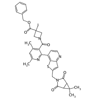 Cc1cc(C)c(C(=O)N2CC(I)(C(=O)OCc3ccccc3)C2)c(-c2ccnc3cc(CN4C(=O)C5C(C4=O)C5(C)C)sc23)n1